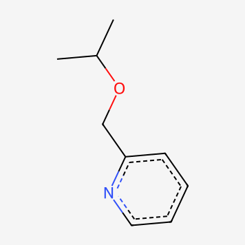 CC(C)OCc1ccccn1